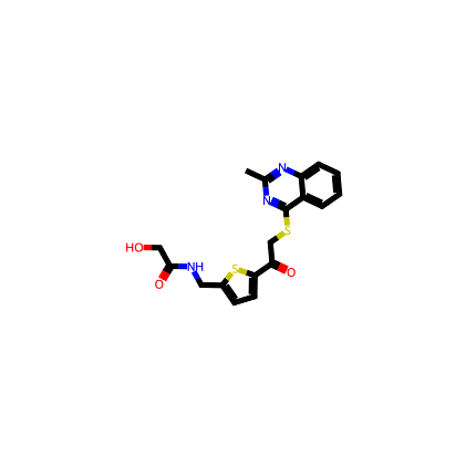 Cc1nc(SCC(=O)c2ccc(CNC(=O)CO)s2)c2ccccc2n1